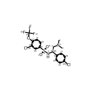 CN(C)C[C@H](NS(=O)(=O)c1ccc(OC(F)(F)F)c(Cl)c1)c1ccc(Cl)cc1